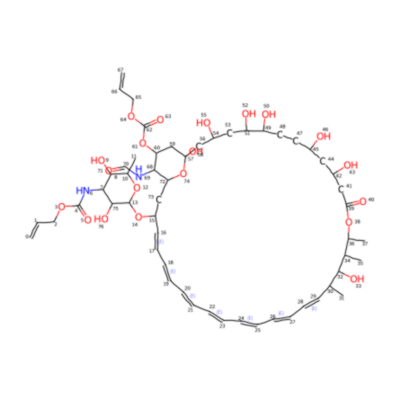 C=CCOC(=O)NC1C(O)C(C)OC(OC2/C=C/C=C/C=C/C=C/C=C/C=C/C=C/C(C)C(O)C(C)C(C)OC(=O)CC(O)CC(O)CCC(O)C(O)CC(O)CC3(O)CC(OC(=O)OCC=C)C(NC=O)C(C2)O3)C1O